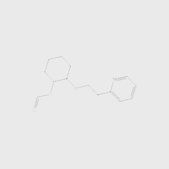 O=COC1CCCCC1SCCc1ccccn1